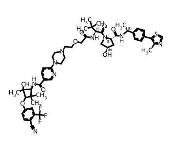 Cc1ncsc1-c1ccc([C@H](C)NC(=O)[C@@H]2C[C@@H](O)CN2C(=O)[C@@H](NC(=O)COCCN2CCN(c3ccc(C(=O)NC4C(C)(C)C(Oc5ccc(C#N)c(C(F)(F)F)c5)C4(C)C)cn3)CC2)C(C)(C)C)cc1